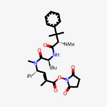 CN[C@H](C(=O)N[C@H](C(=O)N(C)[C@H](/C=C(\C)C(=O)ON1C(=O)CCC1=O)C(C)C)C(C)(C)C)C(C)(C)c1ccccc1